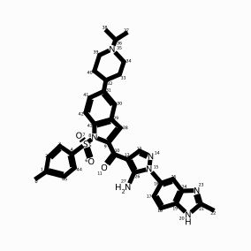 Cc1ccc(S(=O)(=O)n2c(C(=O)c3cnn(-c4ccc5[nH]c(C)nc5c4)c3N)cc3cc(C4CCN(C(C)C)CC4)ccc32)cc1